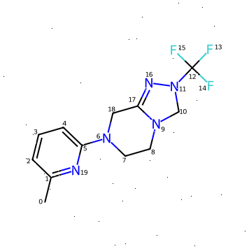 Cc1cccc(N2CCN3CN(C(F)(F)F)N=C3C2)n1